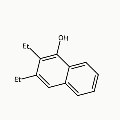 CCc1cc2ccccc2c(O)c1CC